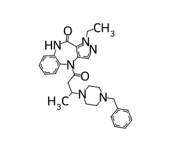 CCn1ncc2c1C(=O)Nc1ccccc1N2C(=O)CC(C)N1CCN(Cc2ccccc2)CC1